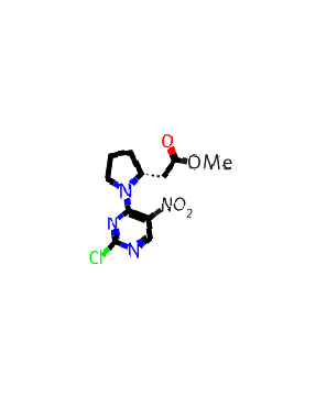 COC(=O)C[C@H]1CCCN1c1nc(Cl)ncc1[N+](=O)[O-]